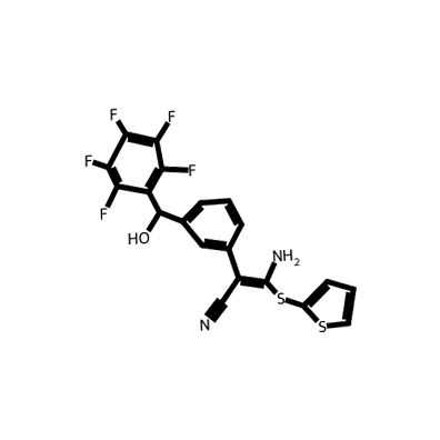 N#C/C(=C(/N)Sc1cccs1)c1cccc(C(O)c2c(F)c(F)c(F)c(F)c2F)c1